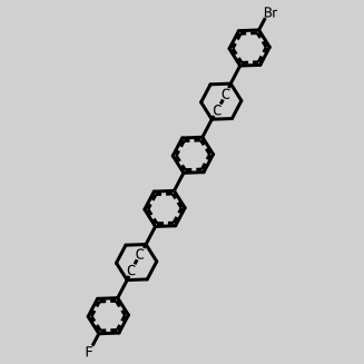 Fc1ccc(C23CCC(c4ccc(-c5ccc(C67CCC(c8ccc(Br)cc8)(CC6)CC7)cc5)cc4)(CC2)CC3)cc1